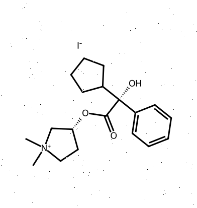 C[N+]1(C)CC[C@@H](OC(=O)[C@](O)(c2ccccc2)C2CCCC2)C1.[I-]